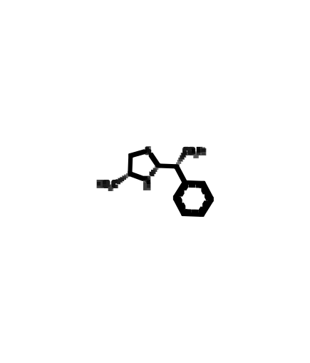 CCOC(=O)[C@H](c1ccccc1)[C@@H]1N[C@H](C(=O)O)CS1